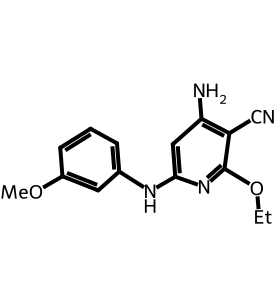 CCOc1nc(Nc2cccc(OC)c2)cc(N)c1C#N